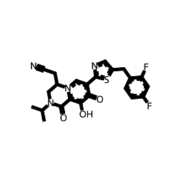 CC(C)N1CC(CC#N)n2cc(-c3ncc(Cc4ccc(F)cc4F)s3)c(=O)c(O)c2C1=O